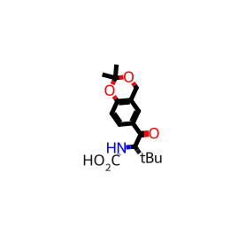 CC1(C)OCc2cc(C(=O)C(NC(=O)O)C(C)(C)C)ccc2O1